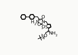 COC(=O)N(Cc1ccc([C@H](N)CO[Si](C)(C)C(C)(C)C)s1)C(=O)[C@@H](N)Cc1ccc(-c2ccccc2)cc1